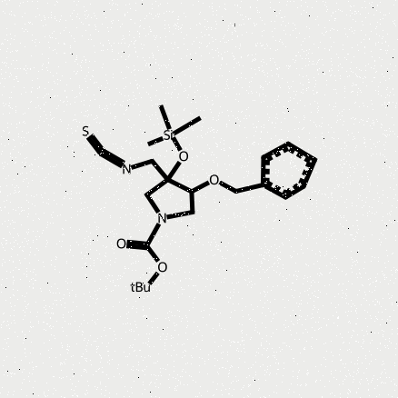 CC(C)(C)OC(=O)N1CC(OCc2ccccc2)C(CN=C=S)(O[Si](C)(C)C)C1